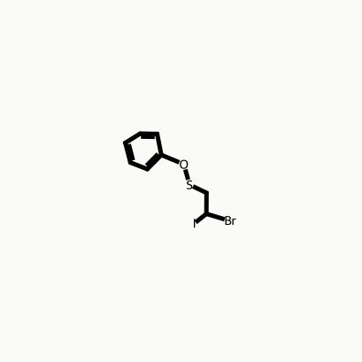 BrC(I)CSOc1ccccc1